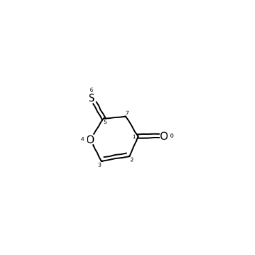 O=C1C=COC(=S)C1